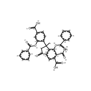 CC(CC(=O)O)(c1ccc(C(=O)O)cc1OC(=O)c1ccccc1)c1ccc(C(=O)O)c(C(=O)O)c1OC(=O)c1ccccc1